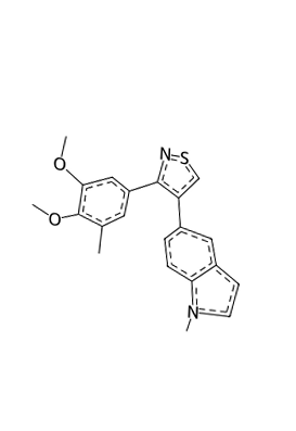 COc1cc(-c2nscc2-c2ccc3c(ccn3C)c2)cc(C)c1OC